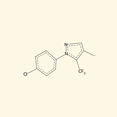 [CH2]c1cnn(-c2ccc(Cl)cc2)c1C(F)(F)F